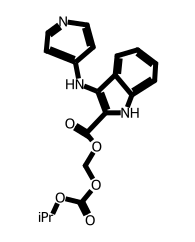 CC(C)OC(=O)OCOC(=O)c1[nH]c2ccccc2c1Nc1ccncc1